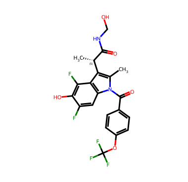 Cc1c([C@H](C)C(=O)NCO)c2c(F)c(O)c(F)cc2n1C(=O)c1ccc(OC(F)(F)F)cc1